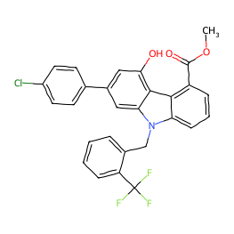 COC(=O)c1cccc2c1c1c(O)cc(-c3ccc(Cl)cc3)cc1n2Cc1ccccc1C(F)(F)F